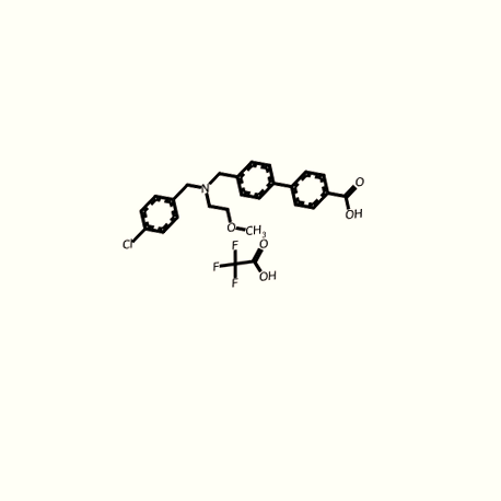 COCCN(Cc1ccc(Cl)cc1)Cc1ccc(-c2ccc(C(=O)O)cc2)cc1.O=C(O)C(F)(F)F